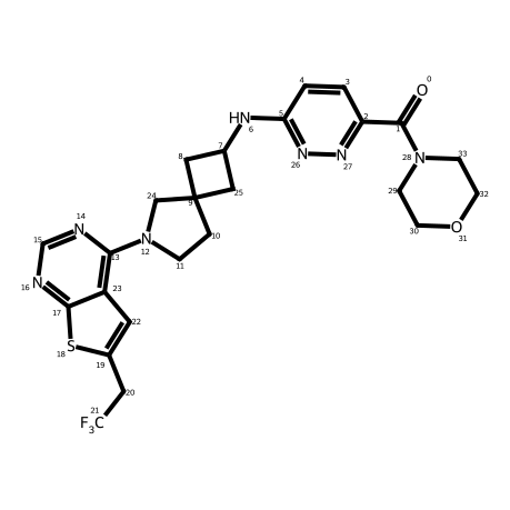 O=C(c1ccc(NC2CC3(CCN(c4ncnc5sc(CC(F)(F)F)cc45)C3)C2)nn1)N1CCOCC1